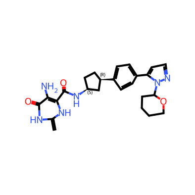 C=C1NC(=O)C(N)=C(C(=O)N[C@H]2CC[C@@H](c3ccc(-c4ccnn4C4CCCCO4)cc3)C2)N1